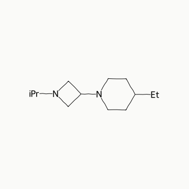 CCC1CCN(C2CN(C(C)C)C2)CC1